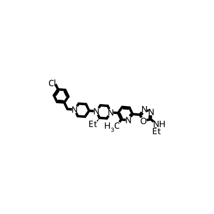 CCNc1nnc(-c2ccc(N3CCN(C4CCN(Cc5ccc(Cl)cc5)CC4)[C@@H](CC)C3)c(C)n2)o1